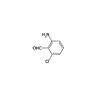 Nc1cccc(Cl)c1[C]=O